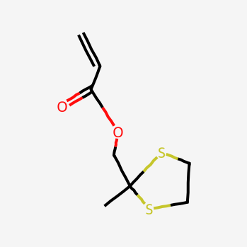 C=CC(=O)OCC1(C)SCCS1